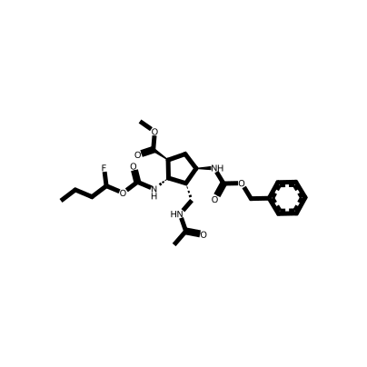 CCCC(F)OC(=O)N[C@H]1[C@@H](CNC(C)=O)[C@H](NC(=O)OCc2ccccc2)C[C@@H]1C(=O)OC